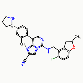 Cc1cc([C@@H]2CCCN2)ccc1-c1cnc(NCc2c(F)ccc3c2CC(C)O3)n2cc(C#N)nc12